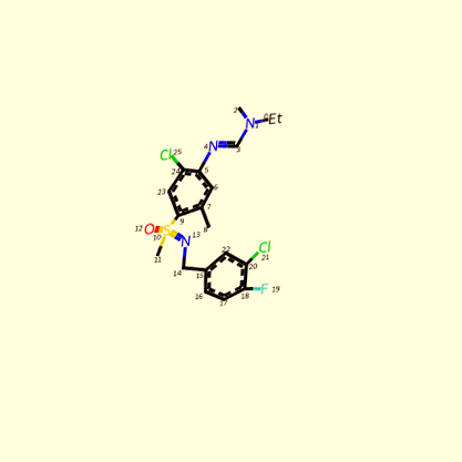 CCN(C)C=Nc1cc(C)c(S(C)(=O)=NCc2ccc(F)c(Cl)c2)cc1Cl